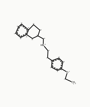 CCOc1ccc(CCNCC2CCc3ccccc3C2)cc1